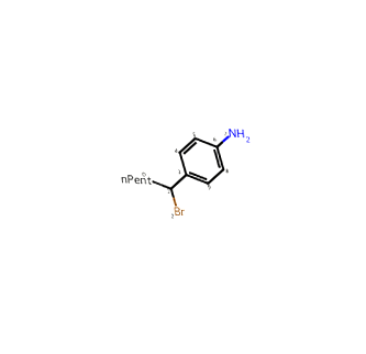 CCCCCC(Br)c1ccc(N)cc1